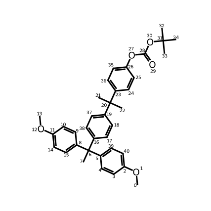 COc1ccc(C(C)(c2ccc(OC)cc2)c2ccc(C(C)(C)c3ccc(OC(=O)OC(C)(C)C)cc3)cc2)cc1